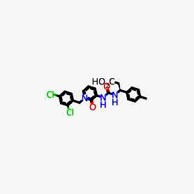 Cc1ccc([C@H](CC(=O)O)NC(=O)Nc2cccn(Cc3ccc(Cl)cc3Cl)c2=O)cc1